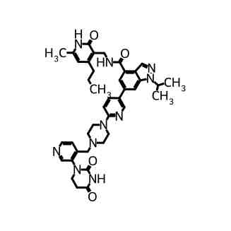 CCCc1cc(C)[nH]c(=O)c1CNC(=O)c1cc(-c2ccc(N3CCN(Cc4ccncc4N4CCC(=O)NC4=O)CC3)nc2)cc2c1cnn2C(C)C